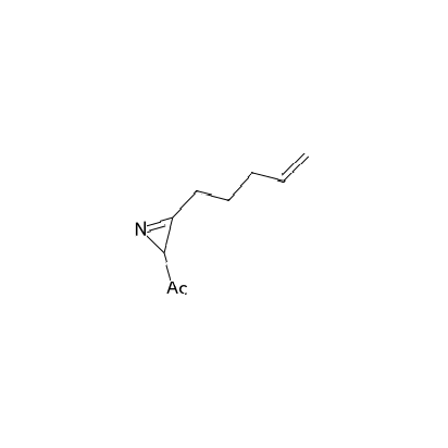 C=CCCCC1=NC1C(C)=O